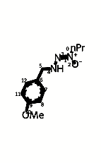 CCC[N+]([O-])=NNCc1ccc(OC)cc1